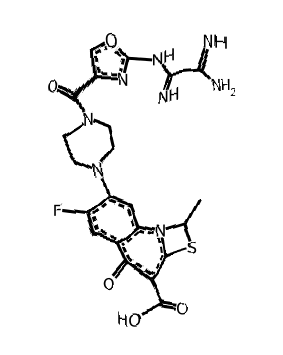 CC1Sc2c(C(=O)O)c(=O)c3cc(F)c(N4CCN(C(=O)c5coc(NC(=N)C(=N)N)n5)CC4)cc3n21